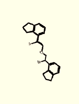 BrC(COCC(Br)c1cccc2c1CCC2)c1cccc2c1CCC2